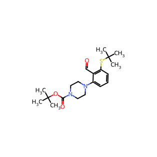 CC(C)(C)OC(=O)N1CCN(c2cccc(SC(C)(C)C)c2C=O)CC1